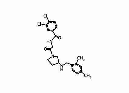 Cc1ccc(CNC2CCN(C(=O)CNC(=O)c3ccc(Cl)c(Cl)c3)C2)c(C)c1